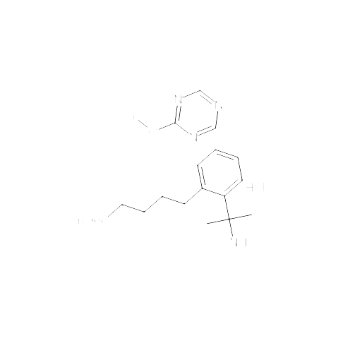 CCCCCCCCCCCCCCc1ccccc1C(C)(C)N.CCOc1ncncn1.Cl